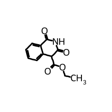 CCOC(=O)C1C(=O)NC(=O)c2ccccc21